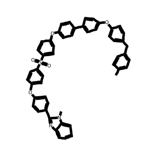 Cc1ccc(Cc2ccc(Oc3ccc(-c4ccc(Oc5ccc(S(=O)(=O)c6ccc(Oc7ccc(-c8nc9ccccc9n8C)cc7)cc6)cc5)cc4)cc3)cc2)cc1